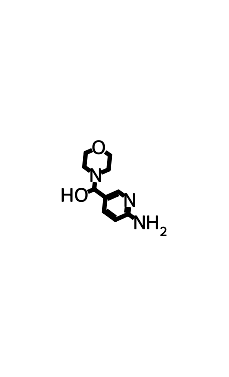 Nc1ccc(C(O)N2CCOCC2)cn1